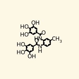 Cc1ccc(NC(=O)c2cc(O)c(O)c(O)c2)c(NC(=O)c2cc(O)c(O)c(O)c2)c1